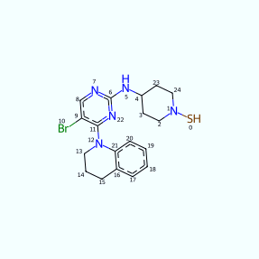 SN1CCC(Nc2ncc(Br)c(N3CCCc4ccccc43)n2)CC1